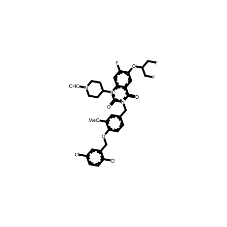 COc1cc(Cn2c(=O)c3cc(OC(CF)CF)c(F)cc3n(C3CCN(C=O)CC3)c2=O)ccc1OCc1cc(Cl)ccc1Cl